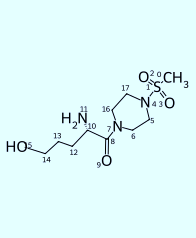 CS(=O)(=O)N1CCN(C(=O)[C@@H](N)CCCO)CC1